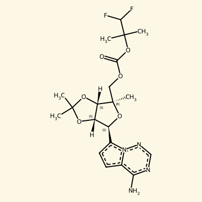 CC1(C)O[C@H]2[C@H](c3ccc4c(N)ncnn34)O[C@](C)(COC(=O)OC(C)(C)C(F)F)[C@H]2O1